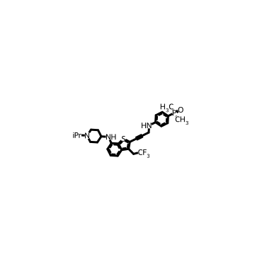 CC(C)N1CCC(Nc2cccc3c(CC(F)(F)F)c(C#CCNc4ccc(P(C)(C)=O)cc4)sc23)CC1